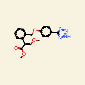 CO/C=C(/C(=O)OC)c1ccccc1COc1ccc(-c2nn[nH]n2)cc1